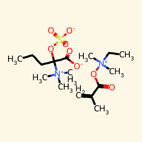 C=C(C)C(=O)O[N+](C)(C)CC.CCCC(OS(=O)(=O)[O-])(C(=O)[O-])[N+](C)(C)C